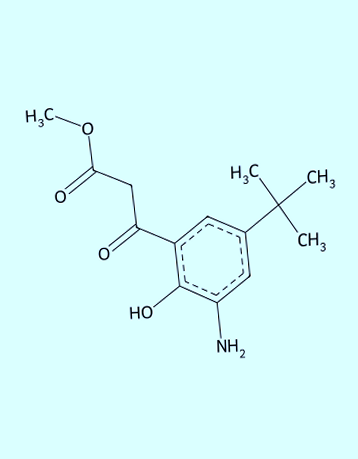 COC(=O)CC(=O)c1cc(C(C)(C)C)cc(N)c1O